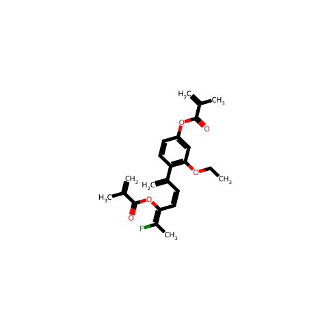 C=C(C)C(=O)OC(/C=C\C(=C)c1ccc(OC(=O)C(=C)C)cc1OCC)=C(/C)F